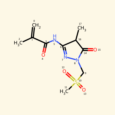 C=C(C)C(=O)NC1=NN(CS(C)(=O)=O)C(=O)C1C